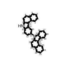 c1ccc2c(c1)ccc1[nH]c3ccc(-n4c5ccccc5c5c6ccccc6ccc54)cc3c12